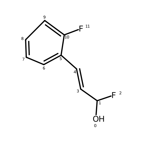 OC(F)C=Cc1ccccc1F